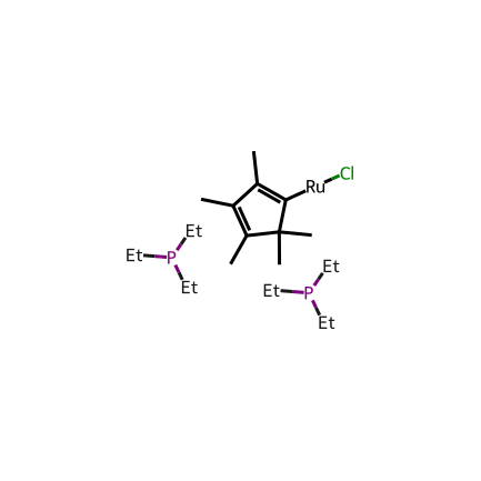 CC1=C(C)C(C)(C)[C]([Ru][Cl])=C1C.CCP(CC)CC.CCP(CC)CC